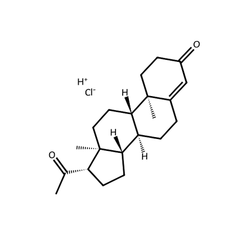 CC(=O)[C@H]1CC[C@H]2[C@@H]3CCC4=CC(=O)CC[C@]4(C)[C@H]3CC[C@]12C.[Cl-].[H+]